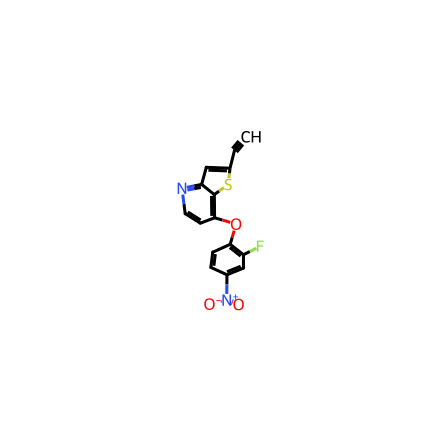 C#Cc1cc2nccc(Oc3ccc([N+](=O)[O-])cc3F)c2s1